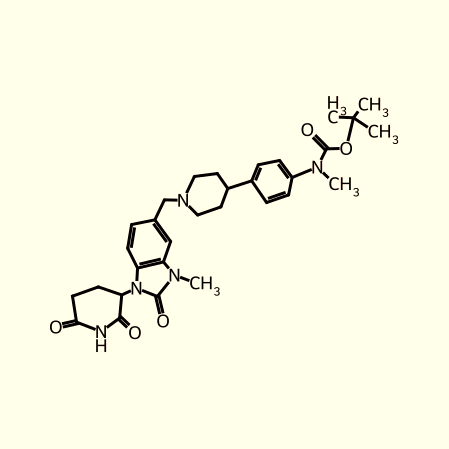 CN(C(=O)OC(C)(C)C)c1ccc(C2CCN(Cc3ccc4c(c3)n(C)c(=O)n4C3CCC(=O)NC3=O)CC2)cc1